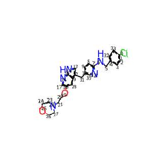 Clc1ccc(CNc2ccc(Cc3c[nH]c4ncc(OCCN5CCOCC5)cc34)cn2)cc1